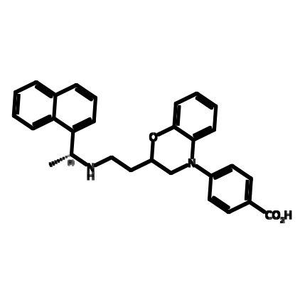 C[C@@H](NCCC1CN(c2ccc(C(=O)O)cc2)c2ccccc2O1)c1cccc2ccccc12